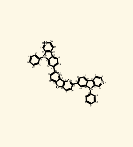 c1ccc(-n2c3cnccc3c3ccc(-c4ccc5oc6ccc(-c7ccc8c9ccncc9n(-c9ccccc9)c8c7)nc6c5n4)cc32)cc1